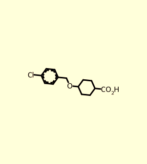 O=C(O)C1CCC(OCc2ccc(Cl)cc2)CC1